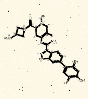 CCc1cc(O)c(F)cc1-c1ccc2c(/C(N)=N/C3=C(C)CN(C(C)C)[C@H](C(=O)N4CC(NC)C4)C3)n[nH]c2c1